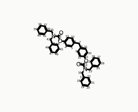 O=C(Oc1ccc(Cc2ccc(OC(=O)N(Cc3ccccc3)Cc3ccccc3)cc2)cc1)N(Cc1ccccc1)Cc1ccccc1